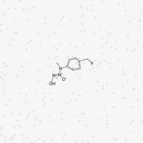 CN(c1ccc(CF)cc1)/[N+]([O-])=N/O